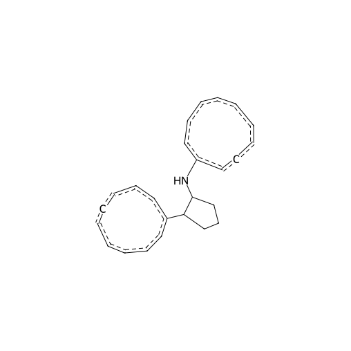 c1ccccc(NC2CCCC2c2ccccccccc2)cccc1